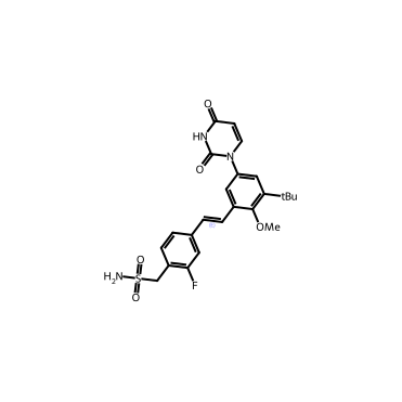 COc1c(/C=C/c2ccc(CS(N)(=O)=O)c(F)c2)cc(-n2ccc(=O)[nH]c2=O)cc1C(C)(C)C